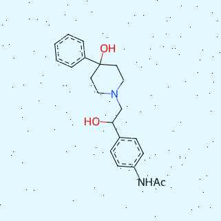 CC(=O)Nc1ccc(C(O)CN2CCC(O)(c3ccccc3)CC2)cc1